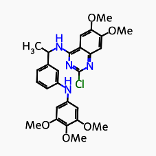 COc1cc2nc(Cl)nc(NC(C)c3cccc(Nc4cc(OC)c(OC)c(OC)c4)c3)c2cc1OC